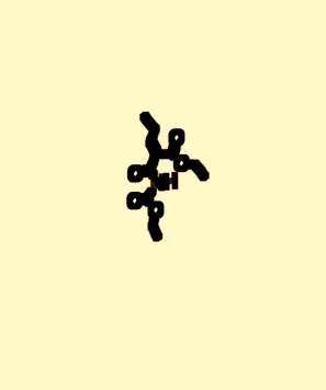 CCC=C(C(=O)NC(=O)OCC)C(=O)OCC